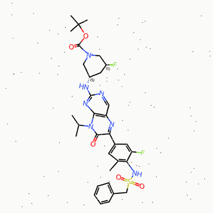 Cc1cc(-c2nc3cnc(N[C@H]4C[C@H](F)CN(C(=O)OC(C)(C)C)C4)nc3n(C(C)C)c2=O)cc(F)c1NS(=O)(=O)Cc1ccccc1